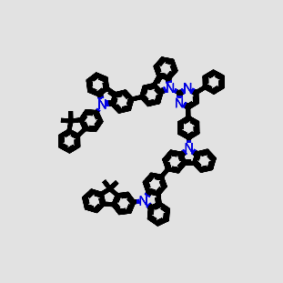 CC1(C)c2ccccc2-c2ccc(-n3c4ccccc4c4cc(-c5ccc6c(c5)c5ccccc5n6-c5ccc(-c6cc(-c7ccccc7)nc(-n7c8ccccc8c8cc(-c9ccc%10c(c9)c9ccccc9n%10-c9ccc%10c(c9)C(C)(C)c9ccccc9-%10)ccc87)n6)cc5)ccc43)cc21